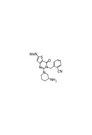 CNc1cc2nc(N3CCCC(N)C3)n(Cc3ccccc3C#N)c(=O)c2s1